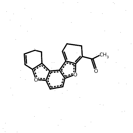 CC(=O)C1=c2oc3ccc4oc5c(c4c3c2=CCC1)CCC=C5